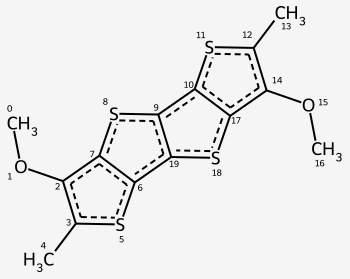 COc1c(C)sc2c1sc1c3sc(C)c(OC)c3sc21